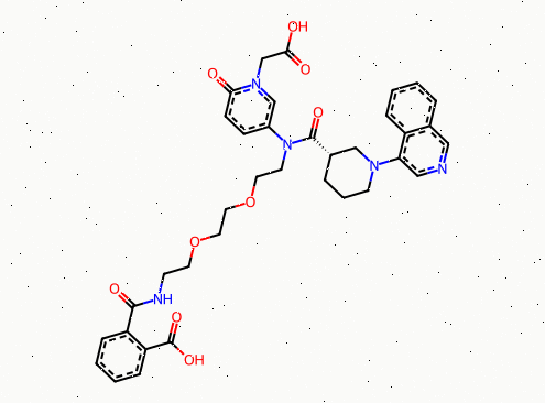 O=C(O)Cn1cc(N(CCOCCOCCNC(=O)c2ccccc2C(=O)O)C(=O)[C@H]2CCCN(c3cncc4ccccc34)C2)ccc1=O